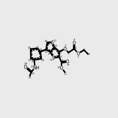 CCOC(=O)COc1c(C(=O)OC)sc2c(-c3cccc(NC(C)=O)c3)csc12